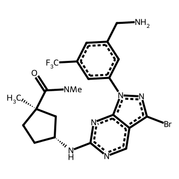 CNC(=O)[C@]1(C)CC[C@@H](Nc2ncc3c(Br)nn(-c4cc(CN)cc(C(F)(F)F)c4)c3n2)C1